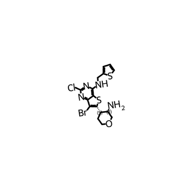 N[C@H]1COCC[C@@H]1c1sc2c(NCc3cccs3)nc(Cl)nc2c1Br